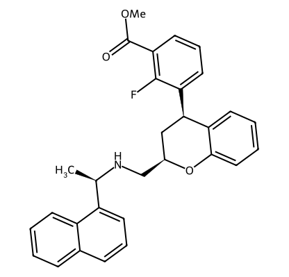 COC(=O)c1cccc([C@@H]2C[C@H](CN[C@H](C)c3cccc4ccccc34)Oc3ccccc32)c1F